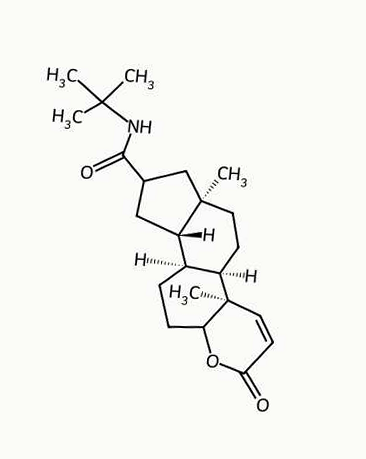 CC(C)(C)NC(=O)C1C[C@H]2[C@@H]3CCC4OC(=O)C=C[C@]4(C)[C@@H]3CC[C@]2(C)C1